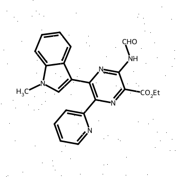 CCOC(=O)c1nc(-c2ccccn2)c(-c2cn(C)c3ccccc23)nc1NC=O